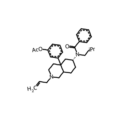 C=CCN1CCC2(c3cccc(OC(C)=O)c3)C[C@H](N(CC(C)C)C(=O)c3ccccc3)CCC2C1